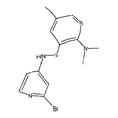 Cc1cnc(N(C)C)c(SNc2ccnc(Br)c2)c1